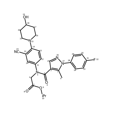 Cc1c(C(=O)N(CC(=O)OC(C)C)c2ccc(N3CCC(O)CC3)c(C#N)c2)cnn1-c1ccc(F)cc1